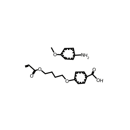 C=CC(=O)OCCCCOc1ccc(C(=O)O)cc1.COc1ccc(N)cc1